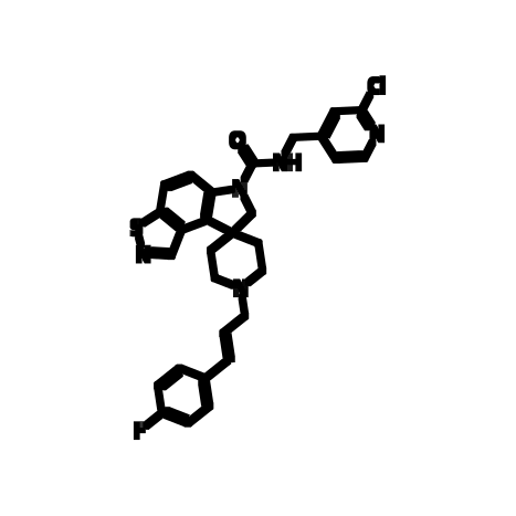 O=C(NCc1ccnc(Cl)c1)N1CC2(CCN(CC=Cc3ccc(F)cc3)CC2)c2c1ccc1sncc21